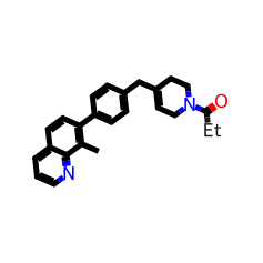 CCC(=O)N1CC=C(Cc2ccc(-c3ccc4cccnc4c3C)cc2)CC1